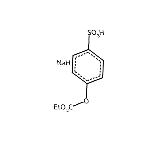 CCOC(=O)Oc1ccc(S(=O)(=O)O)cc1.[NaH]